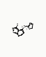 Clc1n[nH]c2cccc(NC3=NCCN3)c12